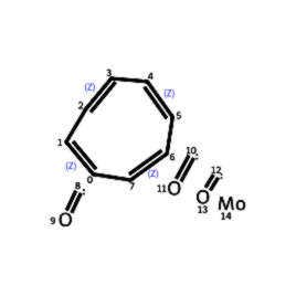 C1=C\C=C/C=C\C=C/1.[C]=O.[C]=O.[C]=O.[Mo]